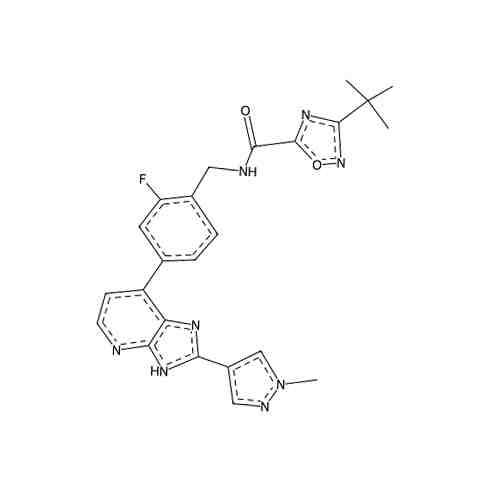 Cn1cc(-c2nc3c(-c4ccc(CNC(=O)c5nc(C(C)(C)C)no5)c(F)c4)ccnc3[nH]2)cn1